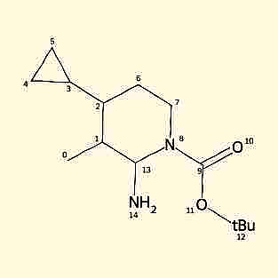 CC1C(C2CC2)CCN(C(=O)OC(C)(C)C)C1N